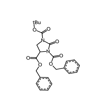 CC(C)(C)OC(=O)N1CC(C(=O)OCc2ccccc2)N(C(=O)OCc2ccccc2)C1=O